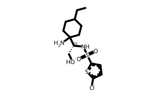 CCC1CCC(N)([C@@H](CO)NS(=O)(=O)c2ccc(Cl)s2)CC1